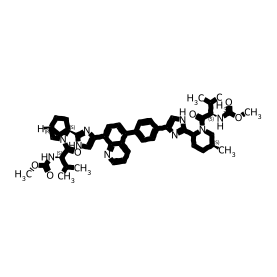 COC(=O)N[C@H](C(=O)N1C[C@@H](C)CCC1c1nc(-c2ccc(-c3ccc(-c4c[nH]c([C@@]56CC[C@@H](CN5C(=O)[C@@H](NC(=O)OC)C(C)C)C6)n4)c4ncccc34)cc2)c[nH]1)C(C)C